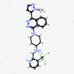 Cn1nccc1-c1nnc(N2CCC(NCc3ncccc3C(F)(F)F)CC2)c2ccccc12